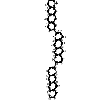 c1cnc2cc3cc4cc(-c5ccc6cc7cc8ccc(-c9ccc%10cc%11cc%12ncccc%12cc%11cc%10n9)nc8cc7cc6n5)ccc4cc3cc2c1